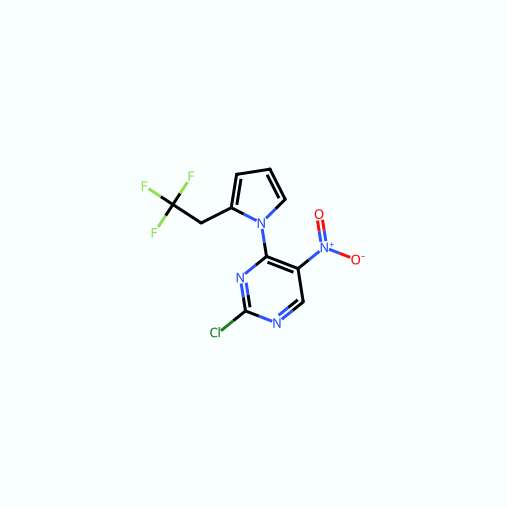 O=[N+]([O-])c1cnc(Cl)nc1-n1cccc1CC(F)(F)F